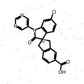 O=C(O)c1ccc2c(c1)C[C@@]1(C2)C(=O)N(c2cncnc2)c2cc(Cl)ccc21